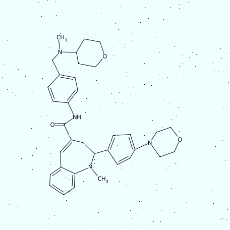 CN(Cc1ccc(NC(=O)C2=Cc3ccccc3N(C)C(c3ccc(N4CCOCC4)cc3)C2)cc1)C1CCOCC1